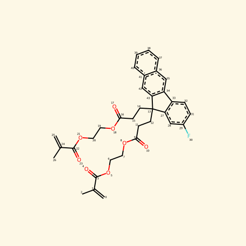 C=C(C)C(=O)OCCOC(=O)CCC1(CCC(=O)OCCOC(=O)C(=C)C)c2cc(F)ccc2-c2cc3ccccc3cc21